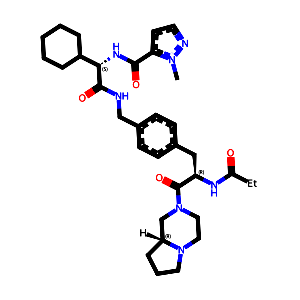 CCC(=O)N[C@H](Cc1ccc(CNC(=O)[C@@H](NC(=O)c2ccnn2C)C2CCCCC2)cc1)C(=O)N1CCN2CCC[C@@H]2C1